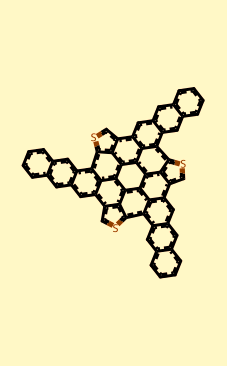 c1ccc2cc3c(cc2c1)cc1c2csc4c5c6cc7ccccc7cc6cc6c7csc8c9c%10cc%11ccccc%11cc%10cc%10c%11csc%12c3c1c1c(c24)c(c65)c(c78)c(c%109)c1c%11%12